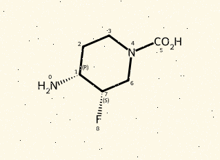 N[C@@H]1CCN(C(=O)O)C[C@@H]1F